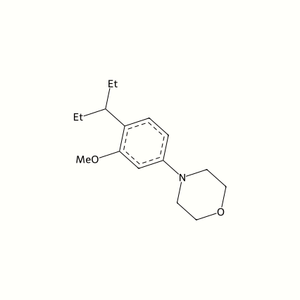 CCC(CC)c1ccc(N2CCOCC2)cc1OC